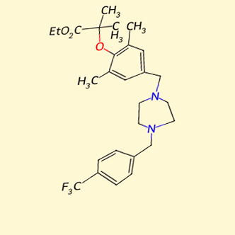 CCOC(=O)C(C)(C)Oc1c(C)cc(CN2CCN(Cc3ccc(C(F)(F)F)cc3)CC2)cc1C